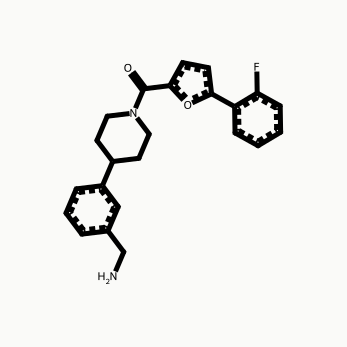 NCc1cccc(C2CCN(C(=O)c3ccc(-c4ccccc4F)o3)CC2)c1